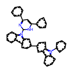 C1=C(c2ccccc2)NC(n2c3ccccc3c3ccc(-c4ccc5c(c4)c4ccccc4n5-c4ccccc4)cc32)N=C1c1ccccc1